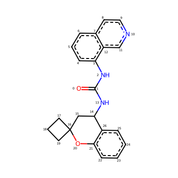 O=C(Nc1cccc2ccncc12)NC1CC2(CCC2)Oc2ccccc21